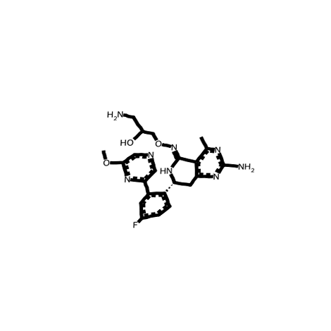 COc1cncc(-c2cc(F)ccc2[C@H]2Cc3nc(N)nc(C)c3/C(=N/OCC(O)CN)N2)n1